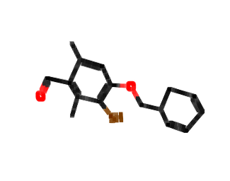 Cc1cc(OCC2C=CC=CC2)c(S)c(C)c1C=O